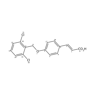 O=C(O)C=Cc1ccc(OCc2c(Cl)cccc2Cl)cc1